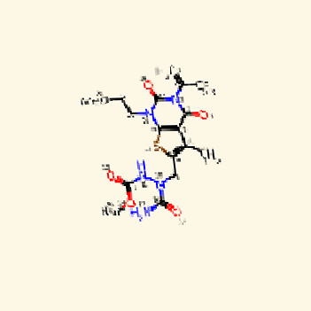 C=C(n1c(=O)c2c(C)c(CN(NC(=O)OC(C)(C)C)C(N)=O)sc2n(CCOC)c1=O)C(F)(F)F